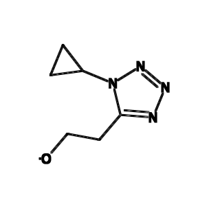 [O]CCc1nnnn1C1CC1